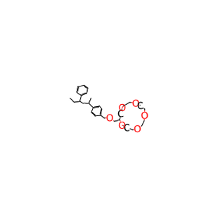 CCC(CC(C)c1ccc(COCC2COCCOCCOCCOCCO2)cc1)c1ccccc1